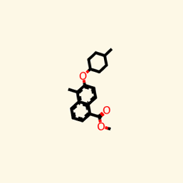 COC(=O)c1cccc2c(C)c(OC3CCC(C)CC3)ccc12